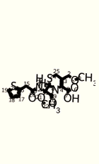 COCC1=C(C(=O)O)N2C(=O)C(NC(=O)Cc3cccs3)(OC)[C@@H]2SC1